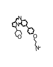 CN(C)CCCOc1ccc(-c2ccc3ncc4ccc(C5CCOCC5)n4c3c2)cc1